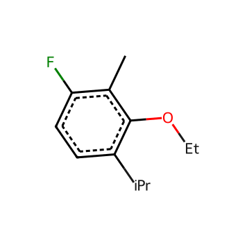 CCOc1c(C(C)C)ccc(F)c1C